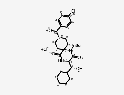 CCCCN1C(=O)[C@@H]([C@H](O)C2CCCCC2)NC(=O)C12CCN(C(O)c1ccc(Cl)nc1)CC2.Cl